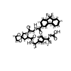 C[C@@H](NC(=O)C1CC2(CN1C(=O)CNC(=O)c1ccc3c(c1)-c1ccccc1C3(F)F)OCCO2)c1cc(C(N)=NC(=O)O)cs1